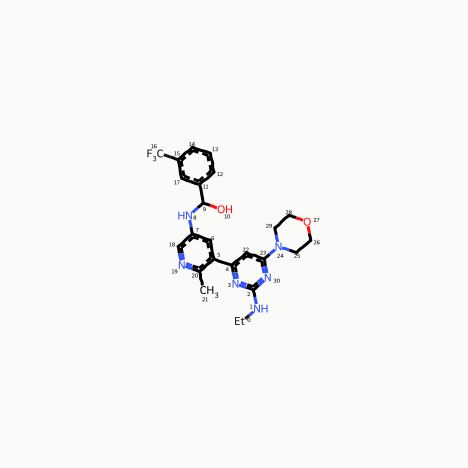 CCNc1nc(-c2cc(NC(O)c3cccc(C(F)(F)F)c3)cnc2C)cc(N2CCOCC2)n1